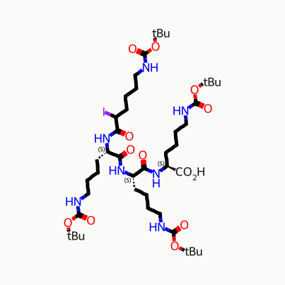 CC(C)(C)OC(=O)NCCCCC(I)C(=O)N[C@@H](CCCCNC(=O)OC(C)(C)C)C(=O)N[C@@H](CCCCNC(=O)OC(C)(C)C)C(=O)N[C@@H](CCCCNC(=O)OC(C)(C)C)C(=O)O